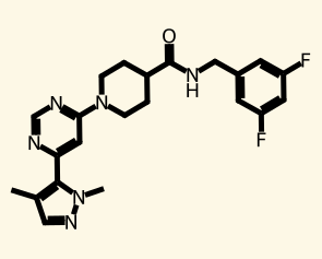 Cc1cnn(C)c1-c1cc(N2CCC(C(=O)NCc3cc(F)cc(F)c3)CC2)ncn1